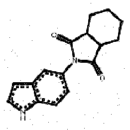 O=C1C2CCCCC2C(=O)N1c1ccc2[nH]ccc2c1